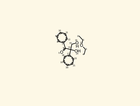 CCOCC.O=C(c1ccccc1)C(O)(CO)c1ccccc1